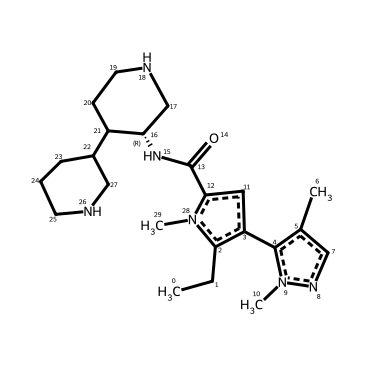 CCc1c(-c2c(C)cnn2C)cc(C(=O)N[C@H]2CNCCC2C2CCCNC2)n1C